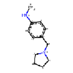 CNc1ccc(CN2CCCC2)cc1